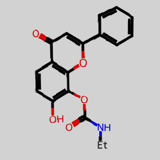 CCNC(=O)Oc1c(O)ccc2c(=O)cc(-c3ccccc3)oc12